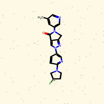 Cc1cncc(N2Cc3nn(-c4ccc(N5CC[C@@H](F)C5)nc4)cc3C2=O)c1